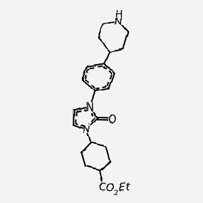 CCOC(=O)C1CCC(n2ccn(-c3ccc(C4CCNCC4)cc3)c2=O)CC1